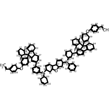 C=CC1=CCC(Oc2ccc(C3(C4C(F)C=CCC4F)C4=C(CCC=C4)C4C=CC(c5cccc(N(C6C=CC7C(C6)OC6CC(N(C8=CC(c9ccc%10c(c9)C(C9=CCC(Oc%11ccc(C=C)cc%11)C=C9)(C9=C(F)CCC=C9F)C9=C%10C=CCC9)CC=C8)c8ccccc8)C=CC67)C6CC=CCC6)c5)=CC43)cc2)C=C1